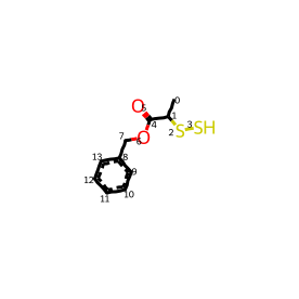 CC(SS)C(=O)OCc1ccccc1